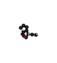 CC1(C)c2ccccc2-c2cc3c(cc21)Oc1ccccc1-c1ccccc1-c1ccccc1-c1ccc(-c2cc(-c4ccccc4)nc(-c4ccc(-c5cccnc5)cc4)n2)cc1-3